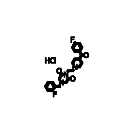 Cl.O=C(c1ccc(F)cc1)C1CCN(CCN2C(=O)CN(Cc3ccccc3F)CC2=O)CC1